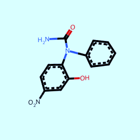 NC(=O)N(c1ccccc1)c1ccc([N+](=O)[O-])cc1O